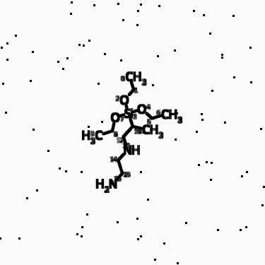 CCO[Si](OCC)(OCC)C(C)CNCCN